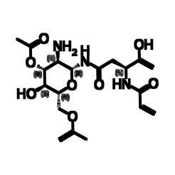 C=CC(=O)N[C@@H](CC(=O)N[C@@H]1O[C@H](COC(=C)C)[C@@H](O)[C@H](OC(C)=O)[C@H]1N)C(=C)O